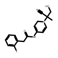 CC(C#N)(CO)N1C=CC(NC(=O)Cc2ccccc2F)=CC1